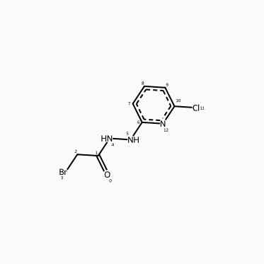 O=C(CBr)NNc1cccc(Cl)n1